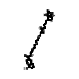 O=C(CCCC[C@@H]1SC[C@@H]2NC(=O)NC21)NCCOCCOCCOCCNC(=O)c1cnc2c(S)cccc2c1